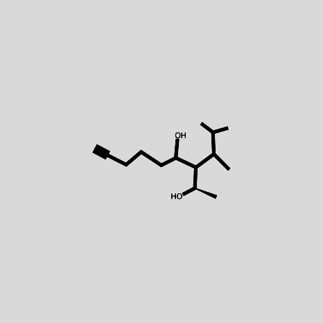 C#CCCCC(O)C(C(C)C(C)C)[C@@H](C)O